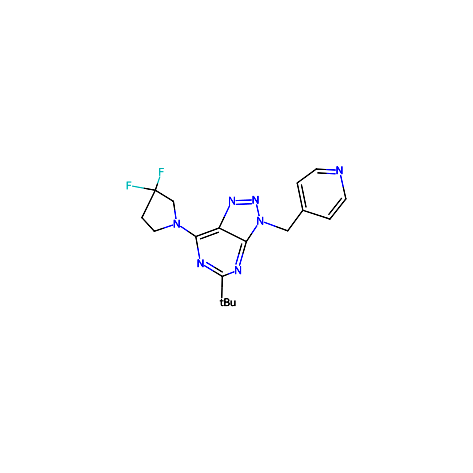 CC(C)(C)c1nc(N2CCC(F)(F)C2)c2nnn(Cc3ccncc3)c2n1